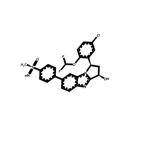 C[S@@](=N)(=O)c1ccc(-c2ccc3nc4n(c3c2)[C@@H](c2cc(Cl)ccc2OC(F)F)C[C@H]4O)cc1